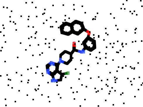 O=C(Nc1cccc(Oc2ccc3ccccc3c2)c1)C1CCN(c2ncnc3c2C(Cl)CN3)CC1